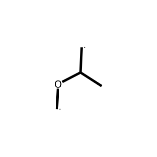 [CH2]OC([CH2])C